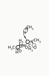 CCN(c1cc(C#CCN2CCN(C)CC2)cc(C(=O)NCc2c(C)cc(C)[nH]c2=O)c1C)C1CCOCC1